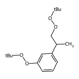 CC(COOC(C)(C)C)c1cccc(OOC(C)(C)C)c1